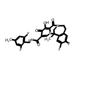 Cc1cc(F)c(CNC(=O)c2cn3c(c(O)c2=O)C(=O)N2CCc4cc(F)c(F)cc4C3(C)C2)c(F)c1